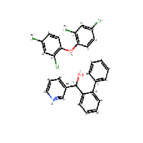 Clc1ccc(Oc2ccc(Cl)cc2Cl)c(Cl)c1.OC(c1cccnc1)c1ccccc1-c1ccccc1